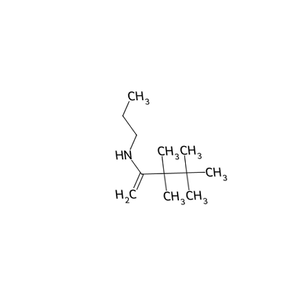 C=C(NCCC)C(C)(C)C(C)(C)C